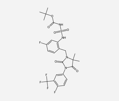 CC(C)(C)OC(=O)NS(=O)(=O)Nc1cc(F)ccc1CN1C(=O)N(c2ccc(F)c(C(F)(F)F)c2)C(=O)C1(C)C